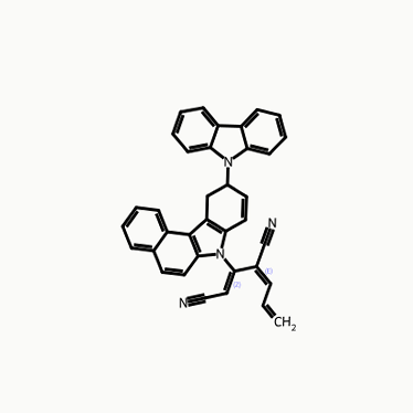 C=C/C=C(C#N)\C(=C\C#N)n1c2c(c3c4ccccc4ccc31)CC(n1c3ccccc3c3ccccc31)C=C2